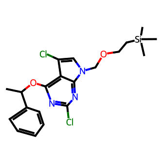 CC(Oc1nc(Cl)nc2c1c(Cl)cn2COCC[Si](C)(C)C)c1ccccc1